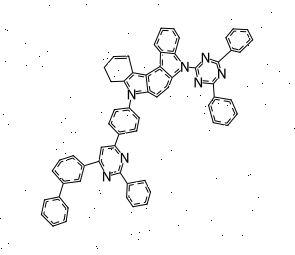 C1=Cc2c(n(-c3ccc(-c4cc(-c5cccc(-c6ccccc6)c5)nc(-c5ccccc5)n4)cc3)c3ccc4c(c5ccccc5n4-c4nc(-c5ccccc5)nc(-c5ccccc5)n4)c23)CC1